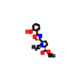 CN1[C@@H](C(=O)OC(C)(C)C)CC[C@@H]1[C@@H]1COC(c2ccccc2O)=N1